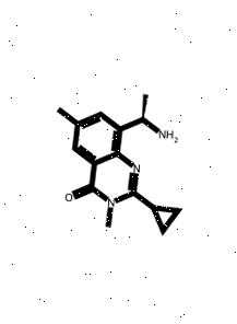 Cc1cc([C@@H](C)N)c2nc(C3CC3)n(C)c(=O)c2c1